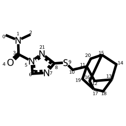 CN(C)C(=O)n1cnc(SCC23CC4CC(CC(C4)C2)C3)n1